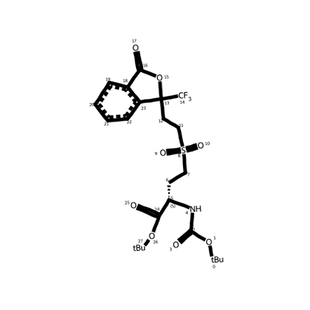 CC(C)(C)OC(=O)N[C@@H](CCS(=O)(=O)CCC1(C(F)(F)F)OC(=O)c2ccccc21)C(=O)OC(C)(C)C